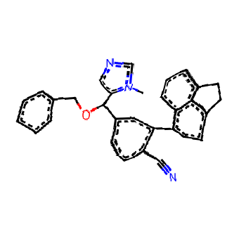 Cn1cncc1C(OCc1ccccc1)c1ccc(C#N)c(-c2ccc3c4c(cccc24)CC3)c1